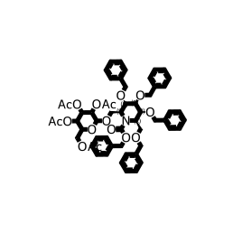 CC(=O)OCC1OC(OC[C@H]2[C@H](OCc3ccccc3)[C@@H](OCc3ccccc3)[C@H](OCc3ccccc3)[C@@H](COCc3ccccc3)N2C(=O)OCc2ccccc2)C(OC(C)=O)C(OC(C)=O)C1OC(C)=O